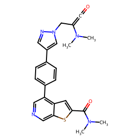 CN(C)C(=O)c1cc2c(-c3ccc(-c4cnn(CC(=C=O)N(C)C)c4)cc3)cncc2s1